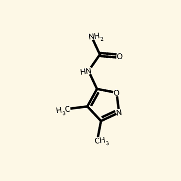 Cc1noc(NC(N)=O)c1C